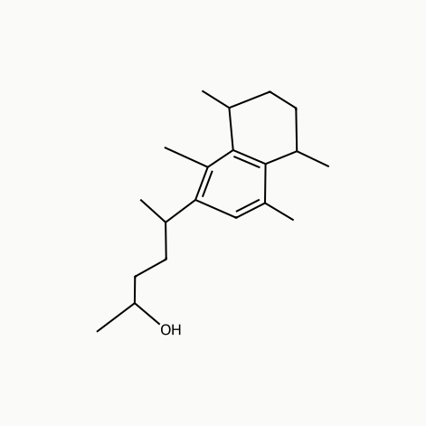 Cc1cc(C(C)CCC(C)O)c(C)c2c1C(C)CCC2C